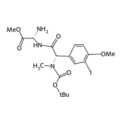 COC(=O)[C@H](N)NC(=O)[C@H](c1ccc(OC)c(I)c1)N(C)C(=O)OC(C)(C)C